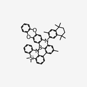 Cc1cc2c3c(c1)N(c1cc4c(cc1C)C(C)(C)CCC4(C)C)c1cc4c(cc1B3N1c3ccccc3[Si](C)(C)c3cccc-2c31)Oc1ccccc1O4